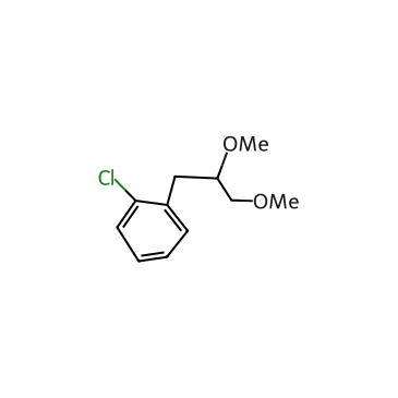 COCC(Cc1ccccc1Cl)OC